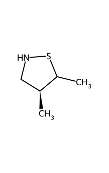 CC1SNC[C@@H]1C